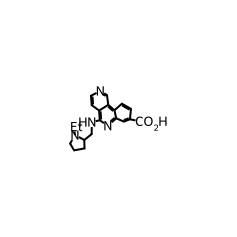 CCN1CCCC1CNc1nc2cc(C(=O)O)ccc2c2cnccc12